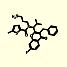 Cc1ccc(C(=O)N(CCCN)C(c2oc3cc(F)ccc3c(=O)c2Cc2ccccc2)C(C)C)s1